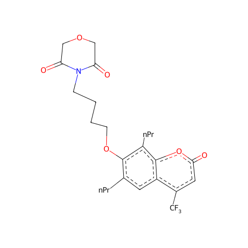 CCCc1cc2c(C(F)(F)F)cc(=O)oc2c(CCC)c1OCCCCN1C(=O)COCC1=O